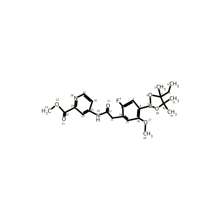 CCC1(C)OB(c2cc(F)c(CC(=O)Nc3ccnc(C(=O)OC)c3)cc2OC)OC1(C)C